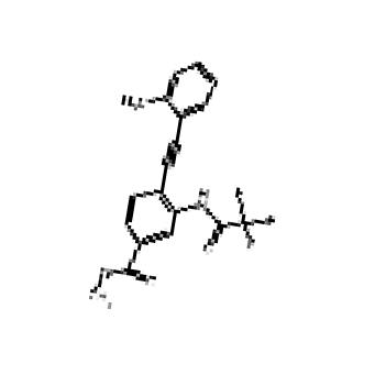 COC(=O)c1ccc(C#Cc2ccccc2C)c(NC(=O)C(F)(F)F)c1